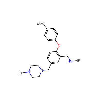 CSc1ccc(Oc2ccc(CN3CCN(C(C)C)CC3)cc2CNC(C)C)cc1